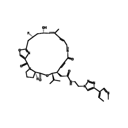 C/C=C(\C=N/C)c1cn(CCNC(=O)C[C@@H]2/C=C/C(=O)NC/C=C/C(C)=C/[C@@H](O)C[C@@H](F)Cc3nc(co3)C(=O)N3CCC[C@@H]3C(=O)O[C@@H]2C(C)C)nn1